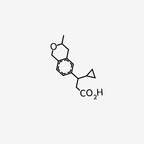 CC1Cc2cc(C(CC(=O)O)C3CC3)ccc2CO1